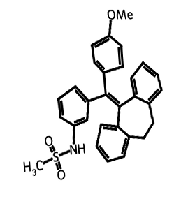 COc1ccc(C(=C2c3ccccc3CCc3ccccc32)c2cccc(NS(C)(=O)=O)c2)cc1